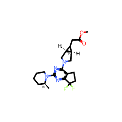 COC(=O)CC1[C@H]2CN(c3nc(N4CCCC[C@@H]4C)nc4c3CCC4(F)F)C[C@@H]12